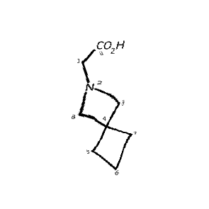 O=C(O)CN1CC2(CCC2)C1